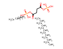 O=C(CCC(=O)OP(=O)(O)O)OP(=O)(O)O.[CaH2].[CaH2].[CaH2].[CaH2].[CaH2].[CaH2].[CaH2].[CaH2].[CaH2].[CaH2].[CaH2].[CaH2].[CaH2].[CaH2].[CaH2].[CaH2]